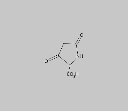 O=C1CC(=O)C(C(=O)O)N1